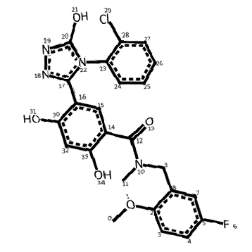 COc1ccc(F)cc1CN(C)C(=O)c1cc(-c2nnc(O)n2-c2ccccc2Cl)c(O)cc1O